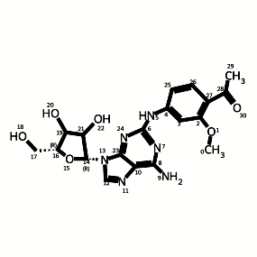 COc1cc(Nc2nc(N)c3ncn([C@@H]4O[C@H](CO)C(O)C4O)c3n2)ccc1C(C)=O